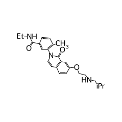 CCNC(=O)c1ccc(C)c(-n2ccc3ccc(OCCNCC(C)C)cc3c2=O)c1